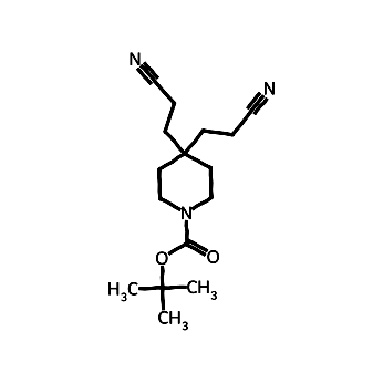 CC(C)(C)OC(=O)N1CCC(CCC#N)(CCC#N)CC1